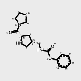 O=C(NC[C@@H]1CN[C@H](C(=O)N2CCSC2)C1)Oc1ccccc1